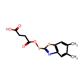 Cc1cc2nc(SOC(=O)CCC(=O)O)sc2cc1C